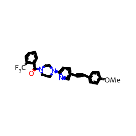 COc1ccc(C#Cc2ccc(N3CCN(C(=O)c4ccccc4C(F)(F)F)CC3)nc2)cc1